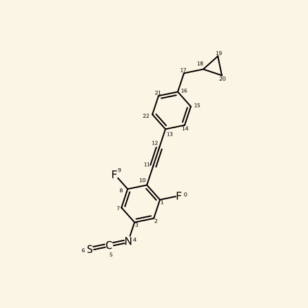 Fc1cc(N=C=S)cc(F)c1C#Cc1ccc(CC2CC2)cc1